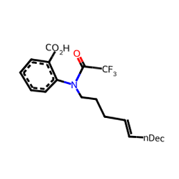 CCCCCCCCCCC=CCCCN(C(=O)C(F)(F)F)c1ccccc1C(=O)O